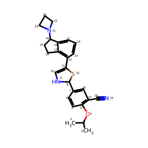 CC(C)Oc1ccc(C2NC=C(c3cccc4c3CCC4N3CCC3)S2)cc1C#N